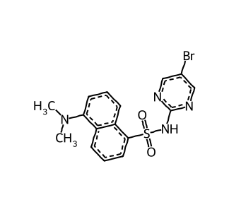 CN(C)c1cccc2c(S(=O)(=O)Nc3ncc(Br)cn3)cccc12